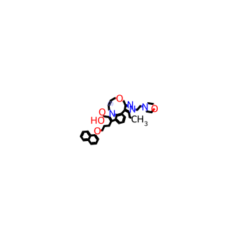 CCc1c2c(nn1CCN1CCOCC1)COC/C=C\Cn1c(C(=O)O)c(CCCOc3cccc4ccccc34)c3cccc-2c31